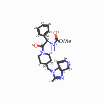 COC(=O)N[C@@H](C(=O)N1CCC(Cn2c(C)nc3cnccc32)CC1)c1ccccc1